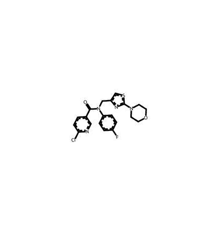 O=C(c1ccc(Cl)nc1)N(Cc1csc(N2CCOCC2)n1)c1ccc(F)cc1